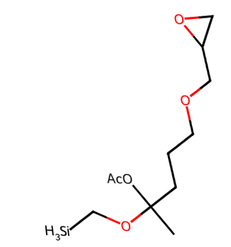 CC(=O)OC(C)(CCCOCC1CO1)OC[SiH3]